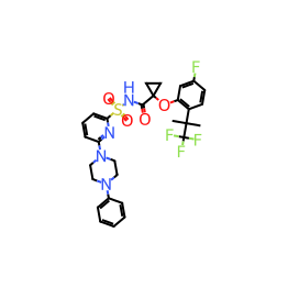 CC(C)(c1ccc(F)cc1OC1(C(=O)NS(=O)(=O)c2cccc(N3CCN(c4ccccc4)CC3)n2)CC1)C(F)(F)F